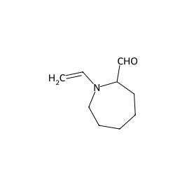 C=CN1CCCCCC1C=O